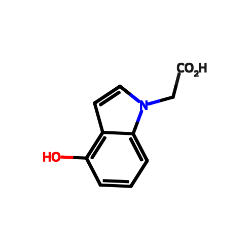 O=C(O)Cn1ccc2c(O)cccc21